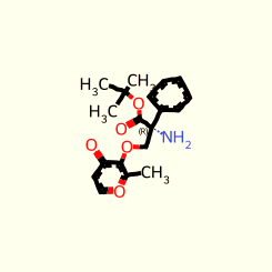 Cc1occc(=O)c1OC[C@@](N)(C(=O)OC(C)(C)C)c1ccccc1